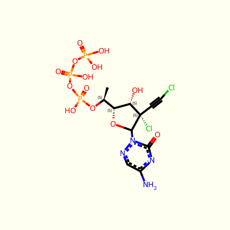 C[C@H](OP(=O)(O)OP(=O)(O)OP(=O)(O)O)[C@H]1OC(n2ncc(N)nc2=O)[C@](Cl)(C#CCl)[C@H]1O